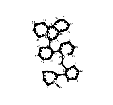 C[n+]1ccccc1-c1ccccc1C[n+]1ccccc1-c1ccccc1-c1cc2ccccc2c2cccc[n+]12